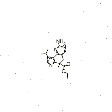 CCOC(=O)C1(C)Cc2cnc(N)nc2-c2c1ncn2C(C)C